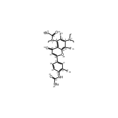 CN(C)c1c(F)c(N(C)C(=O)C(C)(C)C)c2c(=O)cc(-c3ccc(NC(=O)C(C)(C)C)c(F)c3)oc2c1F